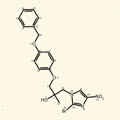 CC(O)(COc1ccc(OCc2ccccc2)cc1)Cn1cc([N+](=O)[O-])nc1Br